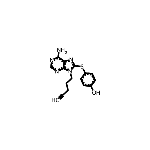 C#CCCCn1c(Sc2ccc(O)cc2)nc2c(N)ncnc21